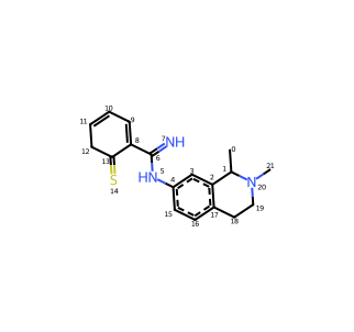 CC1c2cc(NC(=N)C3=CC=CCC3=S)ccc2CCN1C